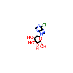 OC[C@H]1O[C@H](n2cnc3c(Cl)ncnc32)C[C@H](O)[C@@H](O)[C@H]1O